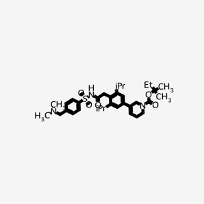 CCC(C)(C)OC(=O)N1CCC=C(c2cc(C(C)C)c(CC(=O)NS(=O)(=O)c3ccc(CN(C)C)cc3)c(C(C)C)c2)C1